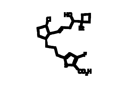 CCC1(C(O)C/C=C/C2[C@@H](CCCc3cc(F)c(C(=O)O)s3)CC[C@H]2Cl)CCC1